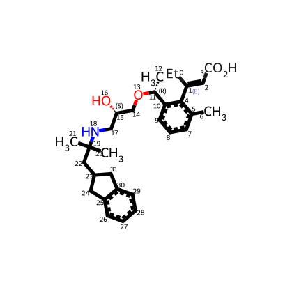 CC/C(=C\C(=O)O)c1c(C)cccc1[C@@H](C)OC[C@@H](O)CNC(C)(C)CC1Cc2ccccc2C1